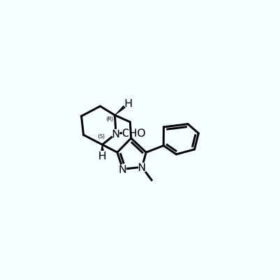 Cn1nc2c(c1-c1ccccc1)C[C@H]1CCC[C@@H]2N1C=O